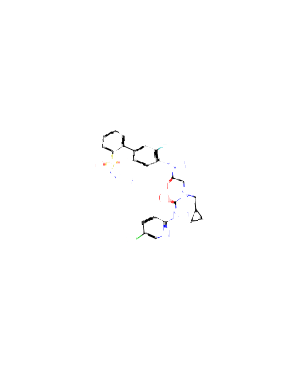 NS(=O)(=O)c1ccccc1-c1ccc(NC(=O)CN(CC2CC2)C(=O)Nc2ccc(Cl)cn2)c(F)c1